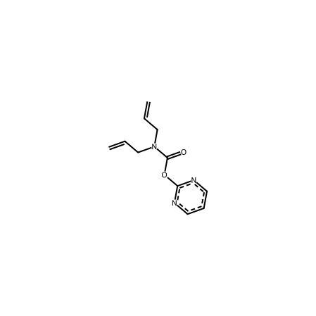 C=CCN(CC=C)C(=O)Oc1ncccn1